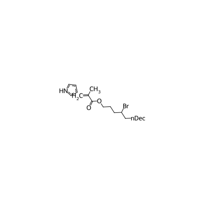 C=C(C)C(=O)OCCCC(Br)CCCCCCCCCCC.c1cc[nH]c1